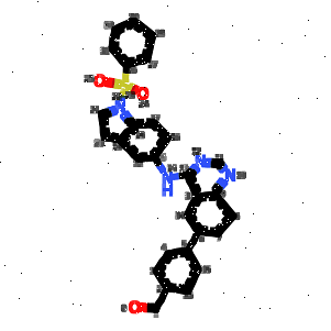 O=Cc1ccc(-c2ccc3ncnc(Nc4ccc5c(ccn5S(=O)(=O)c5ccccc5)c4)c3c2)cc1